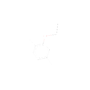 [CH2]COc1cc(C)ccc1C